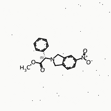 COC(=O)[C@H](c1ccccc1)N1Cc2ccc([N+](=O)[O-])cc2C1